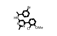 COc1cccc(-c2cc(NC(C)c3cccc(Br)c3)nc(C)n2)c1Cl